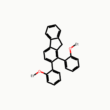 CCOc1ccccc1-c1ccc2c(c1-c1ccccc1OCC)Cc1ccccc1-2